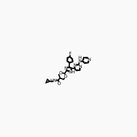 O=C(NCC1CC1)C1COC(c2nc(-c3ccc(F)cc3)c(-c3ccnc(Nc4ccncc4)n3)[nH]2)OC1